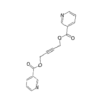 O=C(OCC#CCOC(=O)c1cccnc1)c1cccnc1